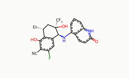 CC[C@@H]1C[C@](O)(C(F)(F)F)[C@@H](Nc2cccc3[nH]c(=O)ccc23)c2cc(F)c(C#N)c(O)c21